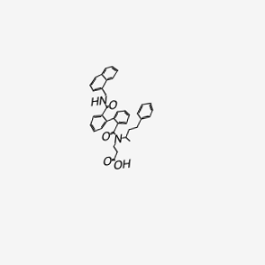 CC(CCc1ccccc1)N(CCC(=O)O)C(=O)c1ccccc1-c1ccccc1C(=O)NCc1cccc2ccccc12